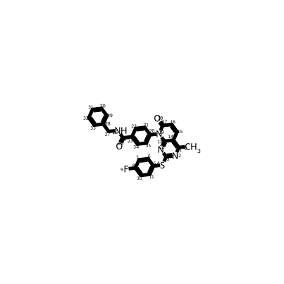 Cc1nc(Sc2ccc(F)cc2)nc2c1ccc(=O)n2-c1ccc(C(=O)NCc2ccccc2)cc1